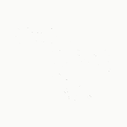 CC(=O)NC1CCN(CCCOC2(COc3cc(OCc4cncc(C#N)c4)c(CNC(C)(CO)C(=O)O)cc3Cl)C=CC=C(c3ccccc3)C2(C)Cl)C1